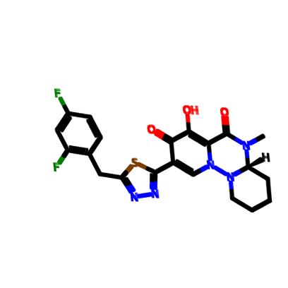 CN1C(=O)c2c(O)c(=O)c(-c3nnc(Cc4ccc(F)cc4F)s3)cn2N2CCCC[C@@H]12